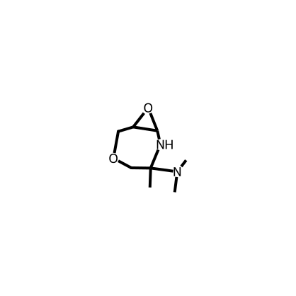 CN(C)C1(C)COCC2OC2N1